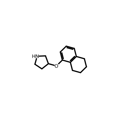 c1cc2c(c(OC3CCNC3)c1)CCCC2